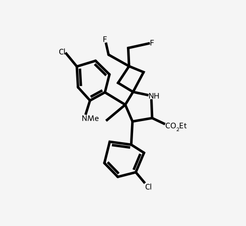 CCOC(=O)C1NC2(CC(CF)(CF)C2)C(C)(c2ccc(Cl)cc2NC)C1c1cccc(Cl)c1